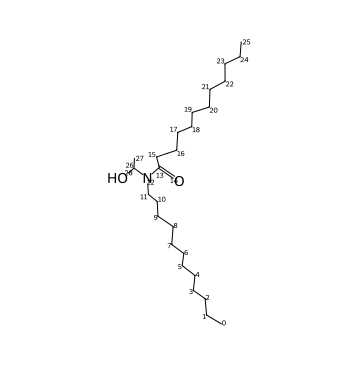 CCCCCCCCCCCCN(C(=O)CCCCCCCCCCC)C(C)O